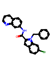 O=C(Nc1ccc2cccnc2c1)c1cc2ccc(Br)cc2n1Cc1ccccc1